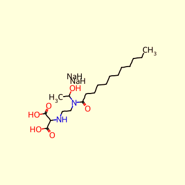 CCCCCCCCCCCC(=O)N(CCNC(C(=O)O)C(=O)O)C(C)O.[NaH].[NaH]